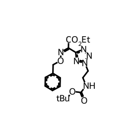 CCOC(=O)C(=NOCc1ccccc1)c1nnn(CCNC(=O)OC(C)(C)C)n1